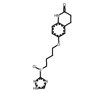 O=C1CCc2cc(OCCCC[S+]([O-])c3nc[nH]n3)ccc2N1